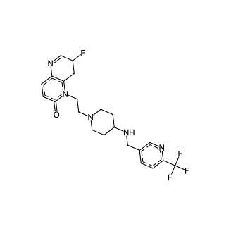 O=c1ccc2c(n1CCN1CCC(NCc3ccc(C(F)(F)F)nc3)CC1)CC(F)C=N2